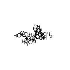 COc1ccc2c3c1O[C@@H]1C(OC(=O)[C@H](C)OC(=O)[C@@H](O)CC(=O)O)=CC[C@]4(O)[C@H](C2)N(C)CC[C@@]314